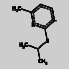 Cc1cc[c]c(SC(C)C)n1